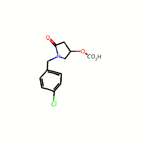 O=C(O)OC1CC(=O)N(Cc2ccc(Cl)cc2)C1